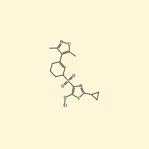 CCOc1sc(C2CC2)nc1S(=O)(=O)C1C=C(c2c(C)noc2C)CCC1